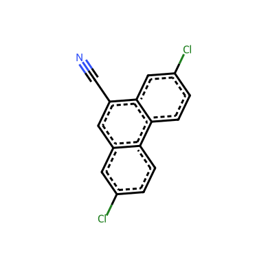 N#Cc1cc2cc(Cl)ccc2c2ccc(Cl)cc12